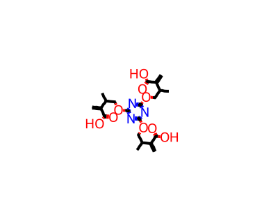 C=C(C(=O)O)C(C)COc1nc(OCC(C)C(=C)C(=O)O)nc(OCC(C)C(=C)C(=O)O)n1